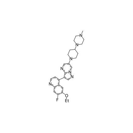 CCOc1cc2c(-c3cnn4cc(N5CCC(N6CCN(C)CC6)CC5)cnc34)ccnc2cc1F